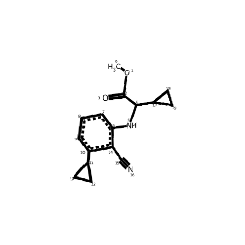 COC(=O)C(Nc1cccc(C2CC2)c1C#N)C1CC1